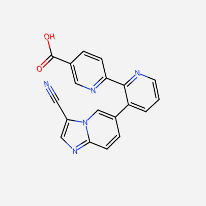 N#Cc1cnc2ccc(-c3cccnc3-c3ccc(C(=O)O)cn3)cn12